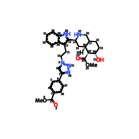 COC(=O)c1ccc(-c2cn(CCc3c([C@@H]4C[C@H]5C(CC[C@H](O)[C@@H]5C(=O)OC)CN4)[nH]c4ccccc34)nn2)cc1